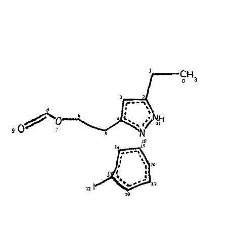 CCc1cc(CCOC=O)n[nH]1.Ic1ccccc1